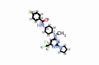 CN(c1cc(C(F)(F)F)nc(N2CCCC2)n1)[C@H]1CC[C@@H](NC(=O)c2ccc(F)cc2)CC1